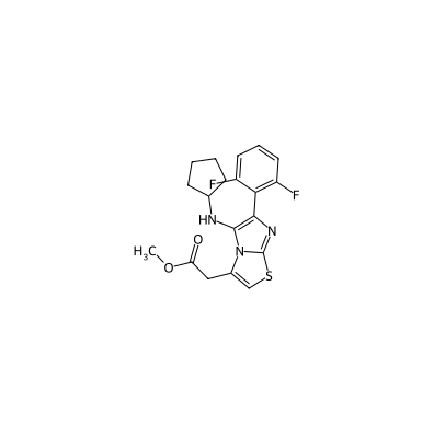 COC(=O)Cc1csc2nc(-c3c(F)cccc3F)c(NC3CCCC3)n12